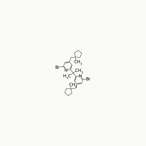 CC1(Cc2cc(Br)nc(C(C)(C)c3cc(CC4(C)CCCC4)cc(Br)n3)c2)CCCC1